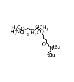 CC(C)(C)CCN(CCC(=O)CCCCOC(C)(C)C(=O)CCCCCOC(C)(C)N)C(C)(C)C